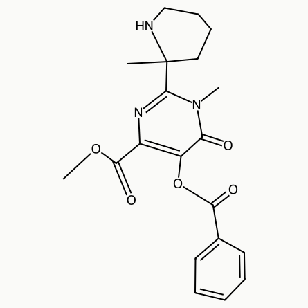 COC(=O)c1nc(C2(C)CCCCN2)n(C)c(=O)c1OC(=O)c1ccccc1